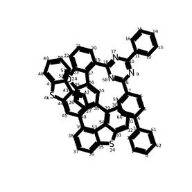 c1ccc(-c2ccc(-c3nc(-c4ccccc4)nc(-c4cccc5oc6ccc(-c7cccc8sc9cccc(-c%10ccc%11c(c%10)sc%10ccccc%10%11)c9c78)cc6c45)n3)cc2)cc1